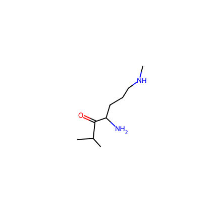 CNCCCC(N)C(=O)C(C)C